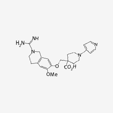 COc1cc2c(cc1OCC1(C(=O)O)CCN(c3ccncc3)CC1)CN(C(=N)N)CC2